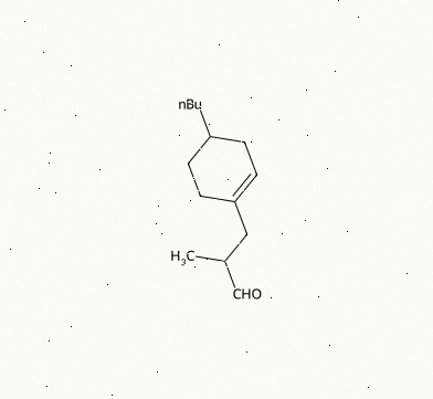 CCCCC1CC=C(CC(C)C=O)CC1